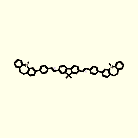 CN1c2ccccc2CCc2ccc(-c3ccc(/C=C/c4ccc5c(c4)C(C)(C)c4cc(/C=C/c6ccc(-c7ccc8c(c7)N(C)c7ccccc7CC8)cc6)ccc4-5)cc3)cc21